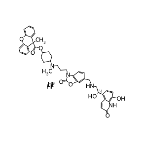 CN(CCCn1c(=O)oc2cc(CNC[C@@H](O)c3ccc(O)c4[nH]c(=O)ccc34)ccc21)C1CCC(OC(=O)C2(C)c3ccccc3Oc3ccccc32)CC1.F.F